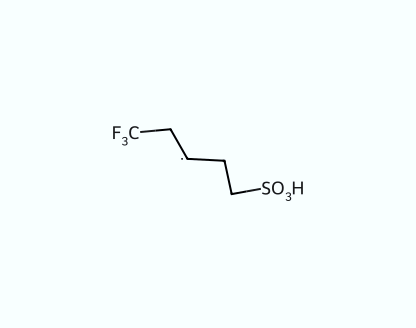 O=S(=O)(O)CC[CH]CC(F)(F)F